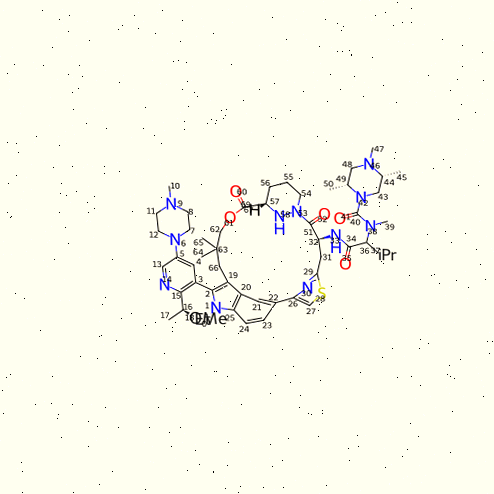 CCn1c(-c2cc(N3CCN(C)CC3)cnc2[C@H](C)OC)c2c3cc(ccc31)-c1csc(n1)C[C@H](NC(=O)C(C(C)C)N(C)C(=O)N1C[C@@H](C)N(C)C[C@H]1C)C(=O)N1CCC[C@H](N1)C(=O)OCC(C)(C)C2